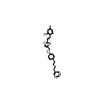 Cc1ccc(/C=C/c2nc(COc3ccc(CCCCc4cncnc4)cc3)co2)c(F)c1